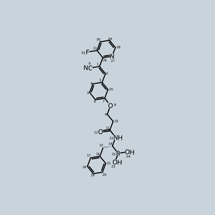 N#C/C(=C\c1cccc(OCCC(=O)N[C@@H](Cc2ccccc2)B(O)O)c1)c1ncccc1F